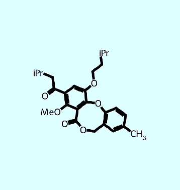 COc1c(C(=O)CC(C)C)cc(OCCC(C)C)c2c1C(=O)OCc1cc(C)ccc1O2